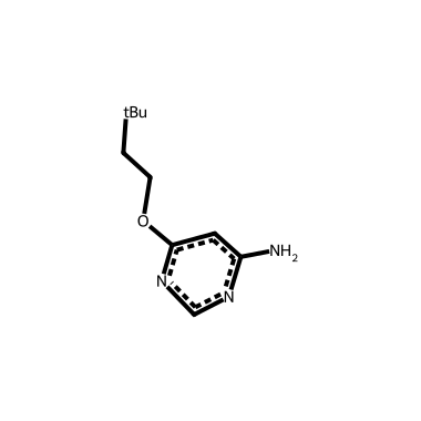 CC(C)(C)CCOc1cc(N)ncn1